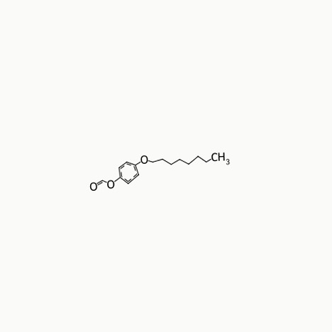 CCCCCCCCOc1ccc(OC=O)cc1